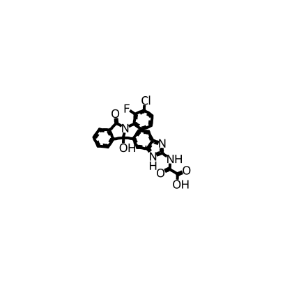 O=C(O)C(=O)Nc1nc2ccc(C3(O)c4ccccc4C(=O)N3c3cccc(Cl)c3F)cc2[nH]1